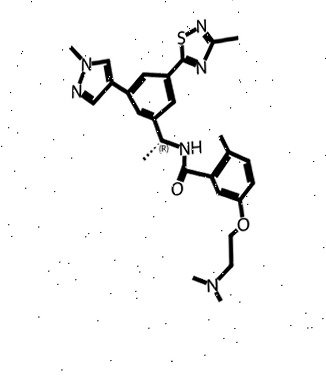 Cc1nsc(-c2cc(-c3cnn(C)c3)cc([C@@H](C)NC(=O)c3cc(OCCN(C)C)ccc3C)c2)n1